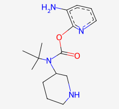 CC(C)(C)N(C(=O)Oc1ncccc1N)C1CCCNC1